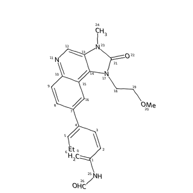 C=C(/C=C\C(=C/CC)c1ccc2ncc3c(c2c1)n(CCOC)c(=O)n3C)NC=O